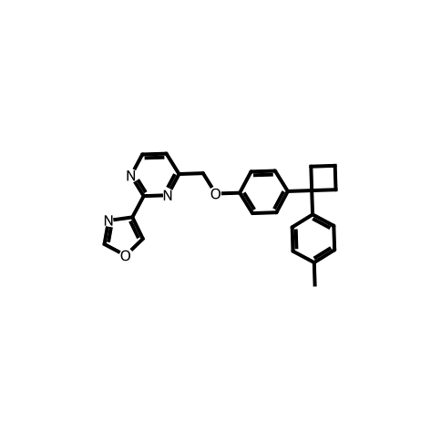 Cc1ccc(C2(c3ccc(OCc4ccnc(-c5cocn5)n4)cc3)CCC2)cc1